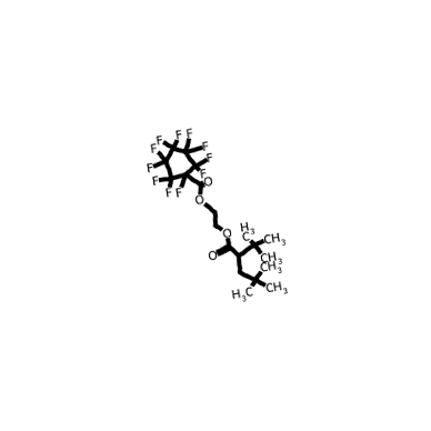 CC(C)(C)CC(C(=O)OCCOC(=O)C1(F)C(F)(F)C(F)(F)C(F)(F)C(F)(F)C1(F)F)C(C)(C)C